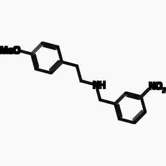 COc1ccc(CCNCc2cccc([N+](=O)[O-])c2)cc1